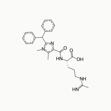 CC(=N)NCCC[C@H](NC(=O)c1nc(C(c2ccccc2)c2ccccc2)n(C)c1C)C(=O)O